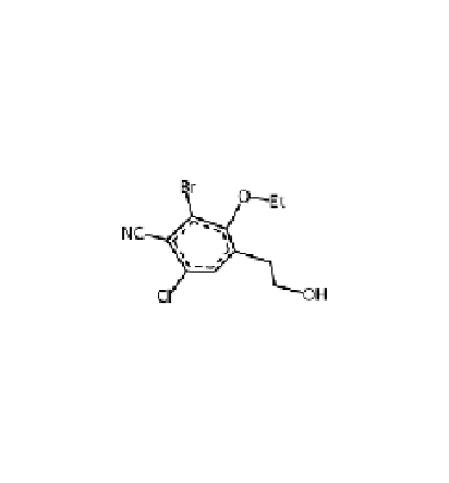 CCOc1c(CCO)cc(Cl)c(C#N)c1Br